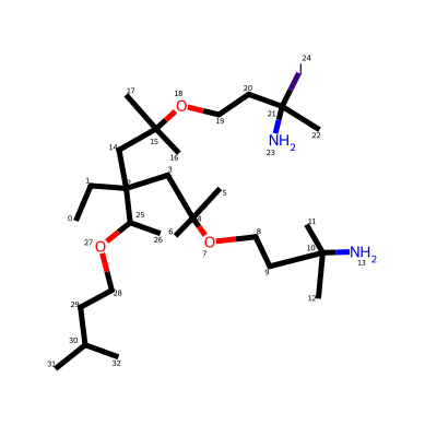 CCC(CC(C)(C)OCCC(C)(C)N)(CC(C)(C)OCCC(C)(N)I)C(C)OCCC(C)C